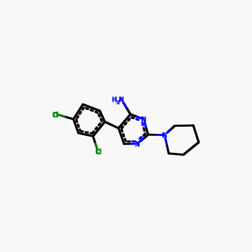 Nc1nc(N2CCCCC2)ncc1-c1ccc(Cl)cc1Cl